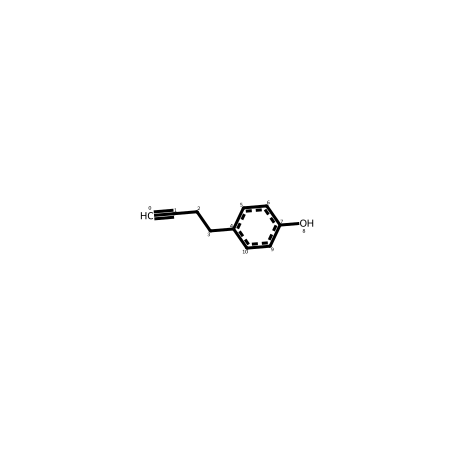 C#CCCc1ccc(O)cc1